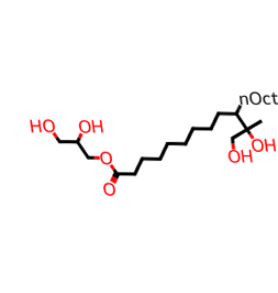 CCCCCCCCC(CCCCCCCCC(=O)OCC(O)CO)C(C)(O)CO